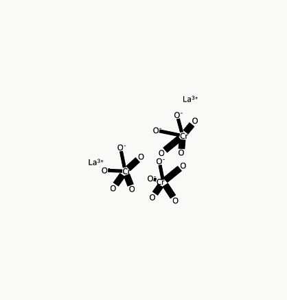 [La+3].[La+3].[O]=[Cr](=[O])(=[O])([O-])[O-].[O]=[Cr](=[O])(=[O])([O-])[O-].[O]=[Cr](=[O])(=[O])([O-])[O-]